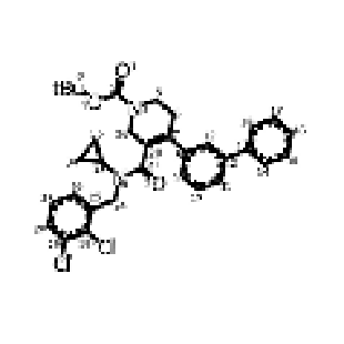 CC(C)(C)OC(=O)N1CCC(c2cccc(-c3ccccc3)c2)=C(C(=O)N(Cc2cccc(Cl)c2Cl)C2CC2)C1